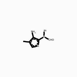 Cc1csc(N(C=O)C(C)C)c1N